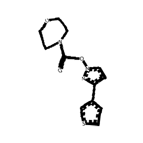 O=C(On1ccc(-c2ccsc2)n1)N1CCOCC1